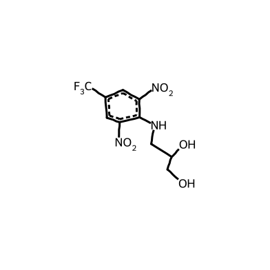 O=[N+]([O-])c1cc(C(F)(F)F)cc([N+](=O)[O-])c1NCC(O)CO